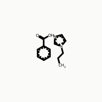 CCCn1ccnc1.O=C(O)c1ccccc1